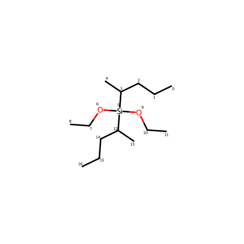 CCCC(C)[Si](OCC)(OCC)C(C)CCC